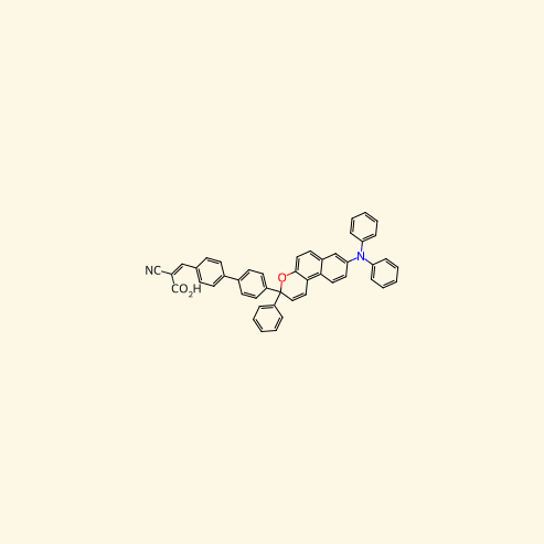 N#C/C(=C/c1ccc(-c2ccc(C3(c4ccccc4)C=Cc4c(ccc5cc(N(c6ccccc6)c6ccccc6)ccc45)O3)cc2)cc1)C(=O)O